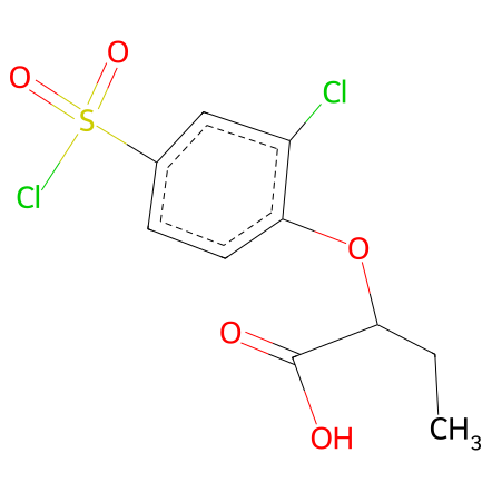 CCC(Oc1ccc(S(=O)(=O)Cl)cc1Cl)C(=O)O